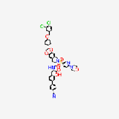 N#Cc1ccc(-c2ccc(CC(NC(=O)[C@@H]3Cc4cc5c(cc4CN3S(=O)(=O)c3ccc(N4CCOCC4)nc3)O[C@@H](c3ccc(OCc4ccc(Cl)c(Cl)c4)cc3)CO5)C(=O)O)cc2)cc1